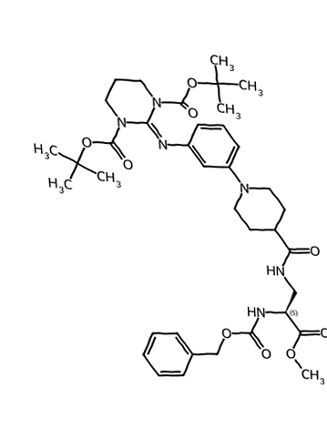 COC(=O)[C@H](CNC(=O)C1CCN(c2cccc(N=C3N(C(=O)OC(C)(C)C)CCCN3C(=O)OC(C)(C)C)c2)CC1)NC(=O)OCc1ccccc1